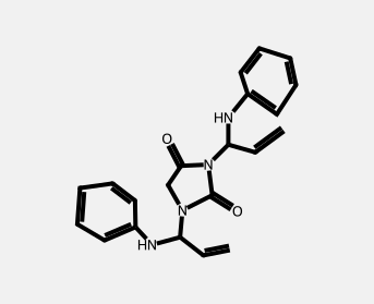 C=CC(Nc1ccccc1)N1CC(=O)N(C(C=C)Nc2ccccc2)C1=O